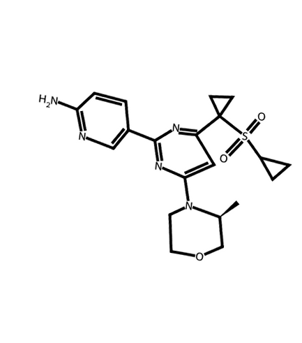 C[C@H]1COCCN1c1cc(C2(S(=O)(=O)C3CC3)CC2)nc(-c2ccc(N)nc2)n1